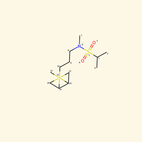 CC(C)S(=O)(=O)N(C)CCCS123(C)CC1C2C3